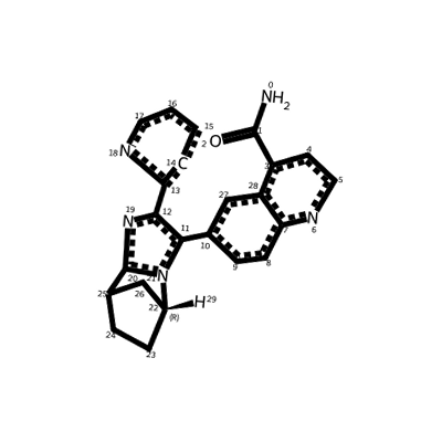 NC(=O)c1ccnc2ccc(-c3c(-c4ccccn4)nc4n3[C@@H]3CCC4C3)cc12